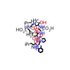 CC(C)C[C@H](NC(=O)[C@H](CC(C)C)NC(=O)[C@@H](NC(=O)[C@H](CC(=O)O)NC(=O)[C@@H](NC(=O)[C@@H]1CCCN1C(=O)[C@H](Cc1ccccc1)NC(=O)[C@@H](N)CC(C)C)[C@@H](C)O)[C@@H](C)O)C(=O)O